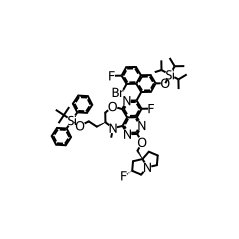 CC(C)[Si](Oc1cc(-c2nc3c4c(nc(OC[C@@]56CCCN5C[C@H](F)C6)nc4c2F)N(C)[C@@H](CCO[Si](c2ccccc2)(c2ccccc2)C(C)(C)C)CO3)c2c(Br)c(F)ccc2c1)(C(C)C)C(C)C